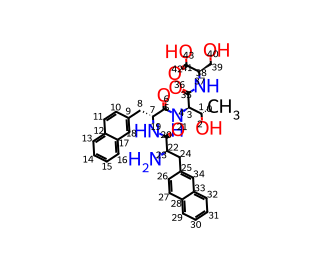 C[C@H](O)[C@@H](NC(=O)[C@@H](Cc1ccc2ccccc2c1)NC(=O)[C@H](N)Cc1ccc2ccccc2c1)C(=O)N[C@H](CO)C(=O)O